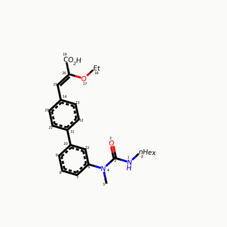 CCCCCCNC(=O)N(C)c1cccc(-c2ccc(C=C(OCC)C(=O)O)cc2)c1